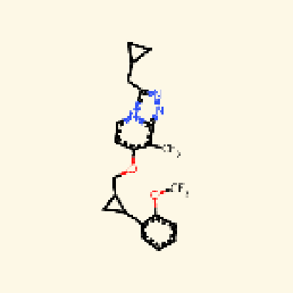 FC(F)(F)Oc1ccccc1C1CC1COc1ccn2c(CC3CC3)nnc2c1C(F)(F)F